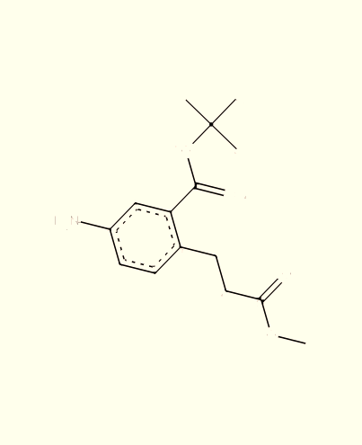 COC(=O)CCc1ccc(N)cc1C(=O)OC(C)(C)C